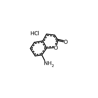 Cl.Nc1cccc2ccc(=O)oc12